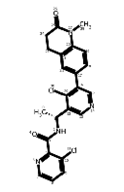 C[C@@H](NC(=O)c1ncccc1Cl)c1cncc(-c2ccc3c(c2)CCC(=O)N3C)c1Cl